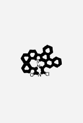 Clc1nc2oc3ccccc3c2nc1-c1cc2ccccc2c2c3ccccc3c3c4ccc5ccccc5c4sc3c12